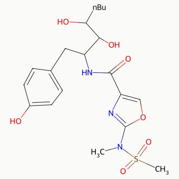 CCCCC(O)C(O)C(Cc1ccc(O)cc1)NC(=O)c1coc(N(C)S(C)(=O)=O)n1